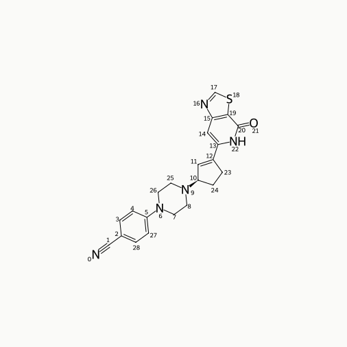 N#Cc1ccc(N2CCN([C@H]3C=C(c4cc5ncsc5c(=O)[nH]4)CC3)CC2)cc1